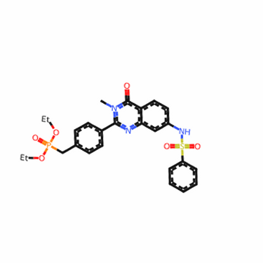 CCOP(=O)(Cc1ccc(-c2nc3cc(NS(=O)(=O)c4ccccc4)ccc3c(=O)n2C)cc1)OCC